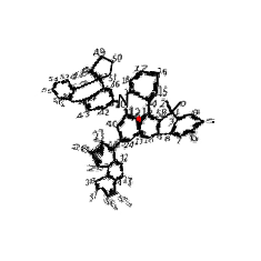 CC1(C)c2ccccc2-c2cccc(-c3ccccc3N(c3cccc(-c4cccc5c4ccc4ccccc45)c3)c3ccc4c(c3)C3(CCCC3)c3ccccc3-4)c21